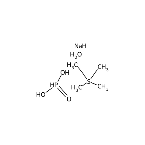 CS(C)(C)C.O.O=[PH](O)O.[NaH]